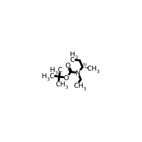 CC[C@H](C)N(CC)C(=O)OC(C)(C)C